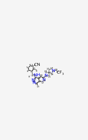 Cc1c(C#N)cccc1[C@@H](C)Nc1nnc(C)c2cnc(N3CC4(CCN(CC(F)(F)F)C4)C3)cc12